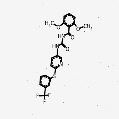 COc1cccc(OC)c1C(=O)NC(=O)Nc1ccc(Sc2cccc(C(F)(F)F)c2)nc1